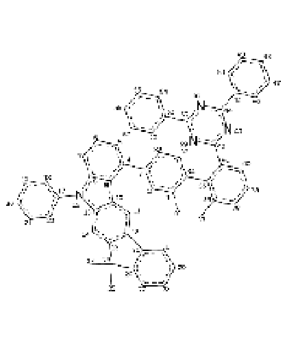 Cc1cc(-c2cccc3c2c2cc4c(cc2n3-c2ccccc2)C(C)(C)c2ccccc2-4)ccc1-c1c(C)cccc1-c1nc(-c2ccccc2)nc(-c2ccccc2)n1